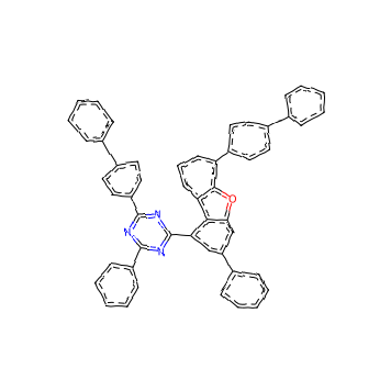 c1ccc(-c2ccc(-c3nc(-c4ccccc4)nc(-c4cc(-c5ccccc5)cc5oc6c(-c7ccc(-c8ccccc8)cc7)cccc6c45)n3)cc2)cc1